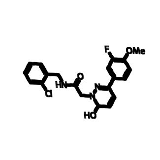 COc1ccc(C2=NN(CC(=O)NCc3ccccc3Cl)C(O)C=C2)cc1F